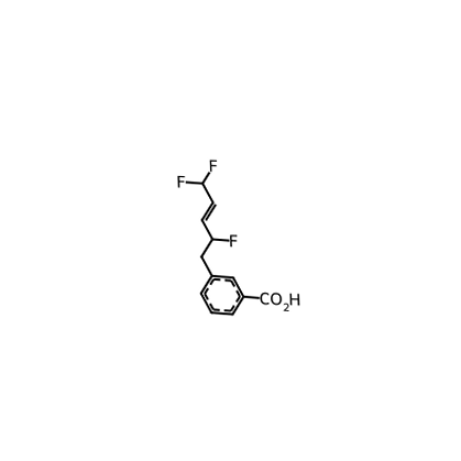 O=C(O)c1cccc(CC(F)C=CC(F)F)c1